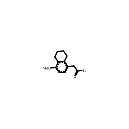 CCC(=O)Cc1ccc(OC)c2c1CCCC2